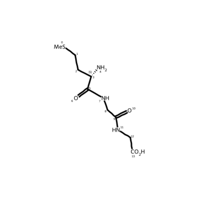 CSCC[C@H](N)C(=O)NCC(=O)NCC(=O)O